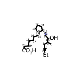 CCC#CCC(C)[C@@H](O)/C=C/[C@H]1CCCN1CCCCCCC(=O)O